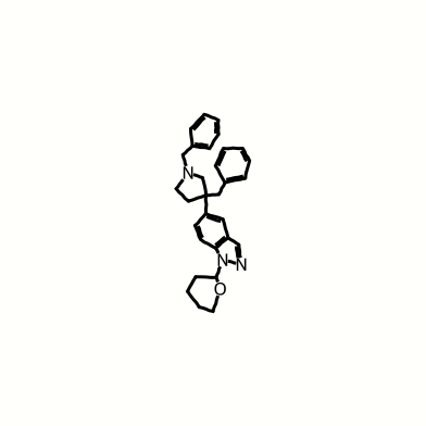 c1ccc(CN2CCC(Cc3ccccc3)(c3ccc4c(cnn4C4CCCCO4)c3)C2)cc1